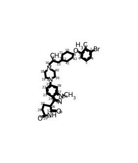 Cc1c(Br)cccc1OC1CCC(C[C@H](C)CN2CCN(c3ccc4c(C5CCC(=O)NC5=O)nn(C)c4c3)CC2)CC1